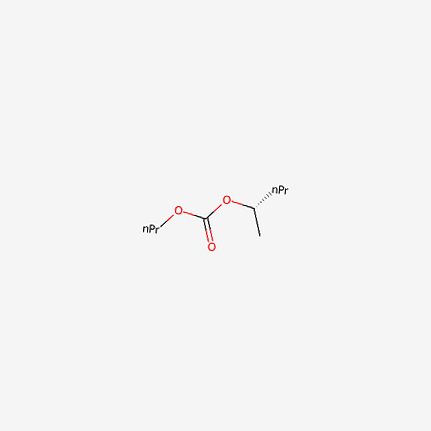 C[CH]COC(=O)O[C@@H](C)CCC